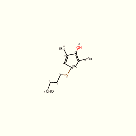 CC(C)(C)c1cc(SCCCC=O)cc(C(C)(C)C)c1O